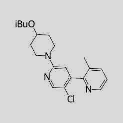 Cc1cccnc1-c1cc(N2CCC(OCC(C)C)CC2)ncc1Cl